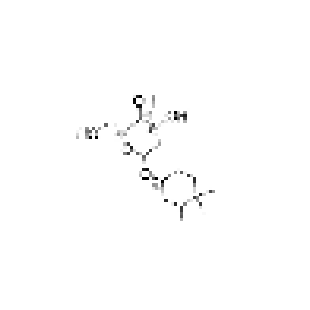 CC1C[C@@H](OC2C[C@@H](O)[C@H](O)[C@@H](CO)O2)CCC1(C)C